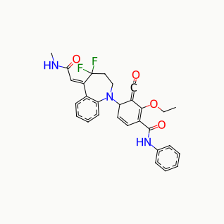 CCOC1=C(C(=O)Nc2ccccc2)C=CC(N2CCC(F)(F)C(=CC(=O)NC)c3ccccc32)C1=C=O